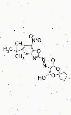 CC(C)(C)c1cc([N+](=O)[O-])c2oc(N=NC3=C(O)OC4(CCCC4)OC3=O)nc2c1